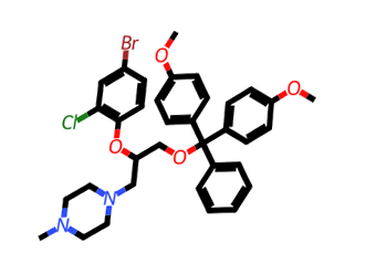 COc1ccc(C(OCC(CN2CCN(C)CC2)Oc2ccc(Br)cc2Cl)(c2ccccc2)c2ccc(OC)cc2)cc1